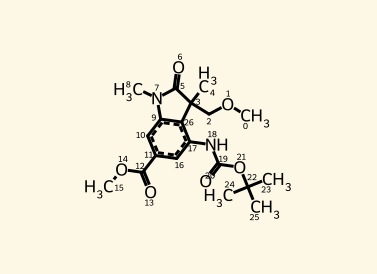 COCC1(C)C(=O)N(C)c2cc(C(=O)OC)cc(NC(=O)OC(C)(C)C)c21